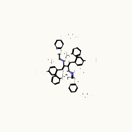 COc1ccc2sc(/C(C#N)=c3/c4c(-c5ccc(O)cc5)n(B(C)c5ccccc5)/c(=C(/C#N)c5nc6cc(OC)ccc6s5)c4c(-c4ccc(O)cc4)n3Bc3ccccc3)nc2c1